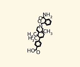 CC1(C)C(c2ccc(C(=O)O)cc2)=CC[C@]2(C)CN(C(=O)c3ccccc3C(N)=O)CC=C12